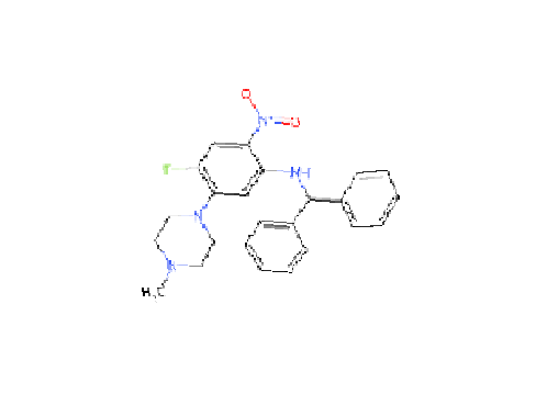 CN1CCN(c2cc(NC(c3ccccc3)c3ccccc3)c([N+](=O)[O-])cc2F)CC1